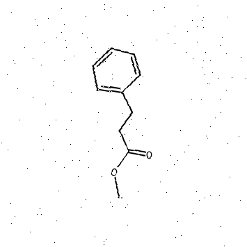 [CH2]OC(=O)CCc1ccccc1